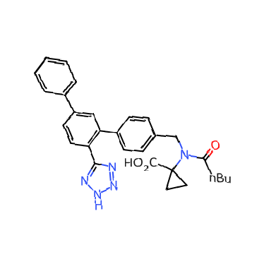 CCCCC(=O)N(Cc1ccc(-c2cc(-c3ccccc3)ccc2-c2nn[nH]n2)cc1)C1(C(=O)O)CC1